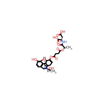 C[C@H](OC(=O)CCC(=O)OC1=CC[C@@]2(O)[C@H]3Cc4ccc(O)c5c4[C@@]2(CCN3C)[C@H]1O5)C(=O)N[C@H](CC(=O)O)C(=O)O